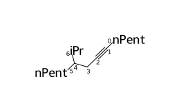 [CH2]CCCCC#CCC(CCCC[CH2])C(C)C